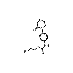 CC(C)CCOC(=O)Nc1ccc(N2CCOCC2=O)cc1